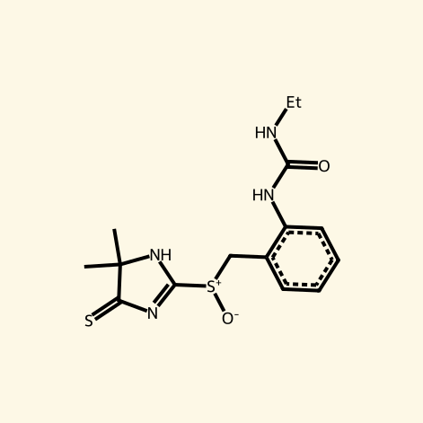 CCNC(=O)Nc1ccccc1C[S+]([O-])C1=NC(=S)C(C)(C)N1